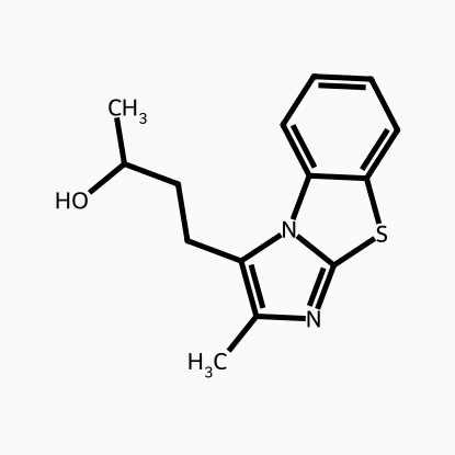 Cc1nc2sc3ccccc3n2c1CCC(C)O